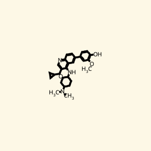 COc1cc(-c2ccc3ncc(C(=O)C4CC4)c(NC4CCC(N(C)C)CC4)c3c2)ccc1O